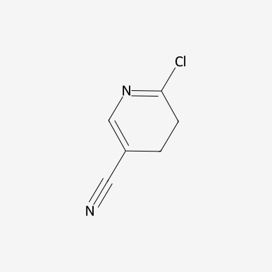 N#CC1=CN=C(Cl)CC1